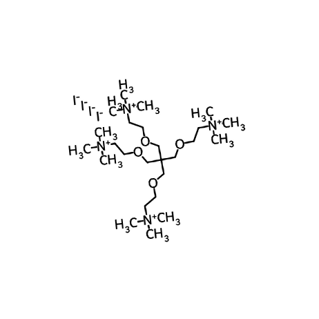 C[N+](C)(C)CCOCC(COCC[N+](C)(C)C)(COCC[N+](C)(C)C)COCC[N+](C)(C)C.[I-].[I-].[I-].[I-]